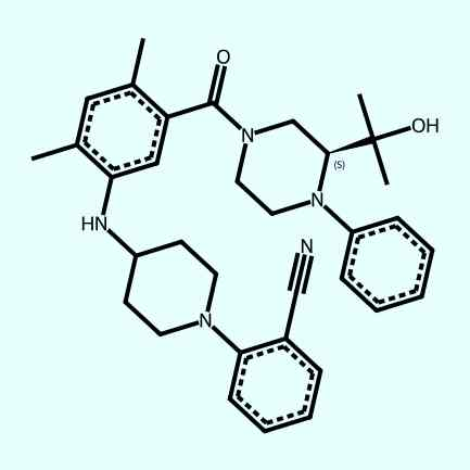 Cc1cc(C)c(C(=O)N2CCN(c3ccccc3)[C@H](C(C)(C)O)C2)cc1NC1CCN(c2ccccc2C#N)CC1